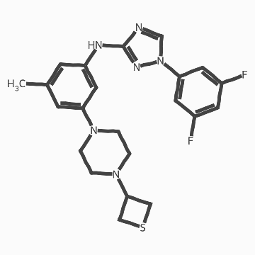 Cc1cc(Nc2ncn(-c3cc(F)cc(F)c3)n2)cc(N2CCN(C3CSC3)CC2)c1